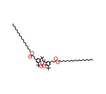 CCCCCCCCCCCCCCCCCCOC(=O)CCc1cc(C(C)(C)C)c(OC(=O)Oc2c(C(C)(C)C)cc(CCC(=O)OCCCCCCCCCCCCCCCCCC)cc2C(C)(C)C)c(C(C)(C)C)c1